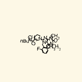 CCCCN(C)C(=O)C1CCCN(c2nc3c(c(=O)n(C)c(=O)n3C)n2Cc2c(C)cccc2F)C1